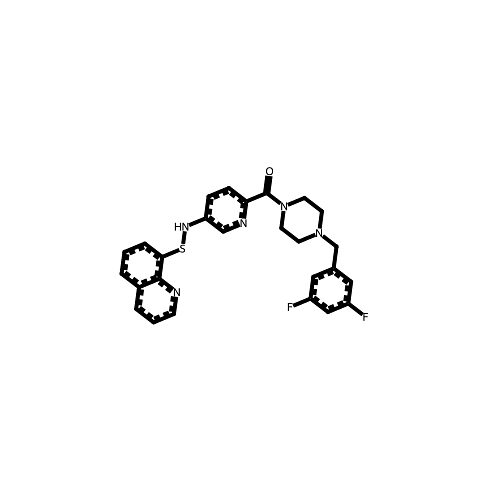 O=C(c1ccc(NSc2cccc3cccnc23)cn1)N1CCN(Cc2cc(F)cc(F)c2)CC1